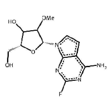 COC1C(O)[C@@H](CO)O[C@H]1n1ccc2c(N)nc(F)nc21